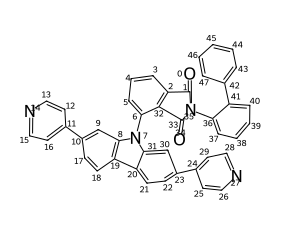 O=C1c2cccc(-n3c4cc(-c5ccncc5)ccc4c4ccc(-c5ccncc5)cc43)c2C(=O)N1c1ccccc1-c1ccccc1